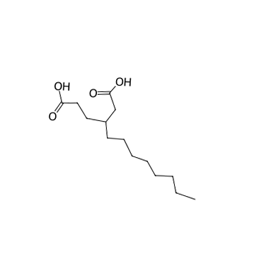 CCCCCCCCC(CCC(=O)O)CC(=O)O